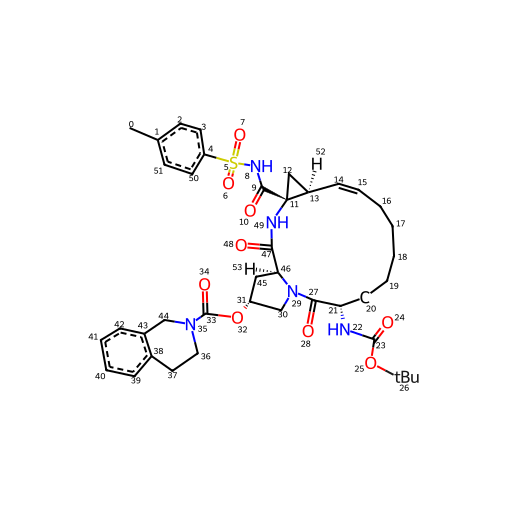 Cc1ccc(S(=O)(=O)NC(=O)[C@@]23C[C@H]2/C=C\CCCCC[C@H](NC(=O)OC(C)(C)C)C(=O)N2C[C@H](OC(=O)N4CCc5ccccc5C4)C[C@H]2C(=O)N3)cc1